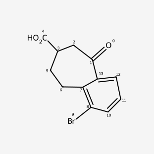 O=C1CC(C(=O)O)CCc2c(Br)cccc21